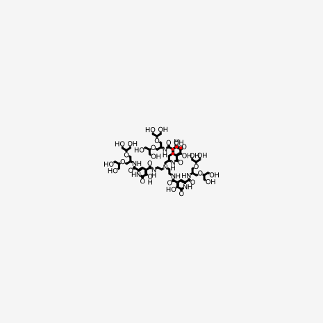 O=C(O)CCCC(CN(CCNC(=O)c1cc(C(=O)NC(COC(CO)CO)COC(CO)CO)[nH]c(=O)c1O)CCNC(=O)c1cc(C(=O)NC(COC(CO)CO)COC(CO)CO)[nH]c(=O)c1O)NC(=O)c1cc(C(=O)NC(COC(CO)CO)COC(CO)CO)[nH]c(=O)c1O